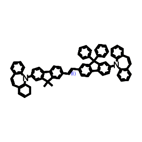 CC1(C)c2cc(/C=C/c3ccc4c(c3)C(c3ccccc3)(c3ccccc3)c3cc(N5c6ccccc6C=Cc6ccccc65)ccc3-4)ccc2-c2ccc(N3C4=C(C=CCC4)C=Cc4ccccc43)cc21